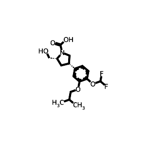 CC(C)COc1cc([C@@H]2C[C@H](CO)N(C(=O)O)C2)ccc1OC(F)F